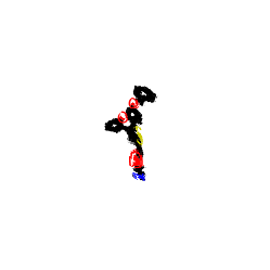 CN(C)CCCOCc1cc2c(s1)-c1ccc(OCc3ccccc3)cc1Oc1ccccc1-2